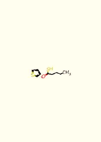 CCCCC(=O)S.c1ccsc1